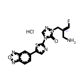 Cl.NC/C(=C/F)Cn1ncn(-c2ncc(-c3ccc4nonc4c3)s2)c1=O